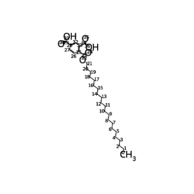 CCCCCCCCCCCCCCCCCCCCCCOC(=O)c1ccc(C(=O)O)cc1C(=O)O